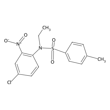 CCN(c1ccc(Cl)cc1[N+](=O)[O-])S(=O)(=O)c1ccc(C)cc1